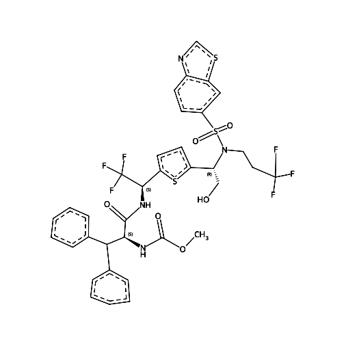 COC(=O)N[C@H](C(=O)N[C@H](c1ccc([C@@H](CO)N(CCC(F)(F)F)S(=O)(=O)c2ccc3ncsc3c2)s1)C(F)(F)F)C(c1ccccc1)c1ccccc1